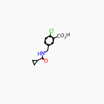 O=C(O)c1cc(CNC(=O)C2CC2)ccc1Cl